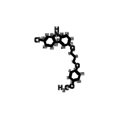 COc1ccc(OCCCOc2ccc3[nH]c4cc(Cl)ccc4c3c2)cc1